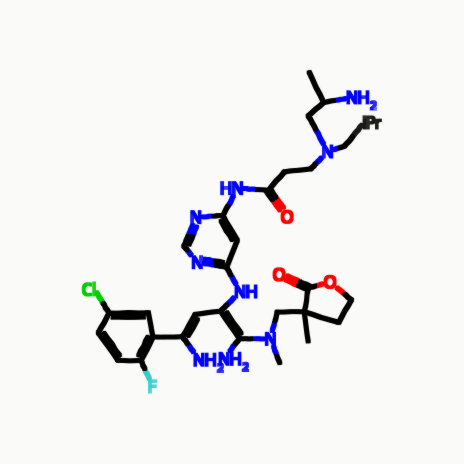 CC(C)CN(CCC(=O)Nc1cc(NC(/C=C(\N)c2cc(Cl)ccc2F)=C(/N)N(C)CC2(C)CCOC2=O)ncn1)CC(C)N